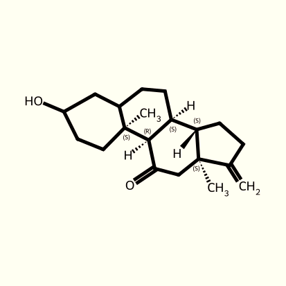 C=C1CC[C@H]2[C@@H]3CCC4CC(O)CC[C@]4(C)[C@@H]3C(=O)C[C@]12C